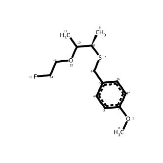 COc1ccc(CS[C@H](C)C(C)OCCF)cc1